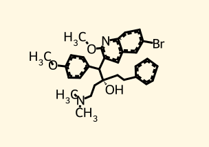 COc1ccc(C(c2cc3cc(Br)ccc3nc2OC)[C@@](O)(CCc2ccccc2)CCN(C)C)cc1